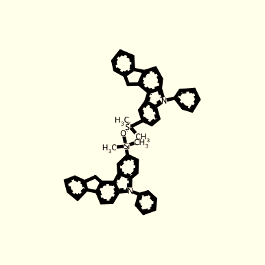 C[Si](C)(O[Si](C)(C)c1ccc2c(c1)c1c3c(ccc1n2-c1ccccc1)-c1ccccc1C3)c1ccc2c(c1)c1c3c(ccc1n2-c1ccccc1)-c1ccccc1C3